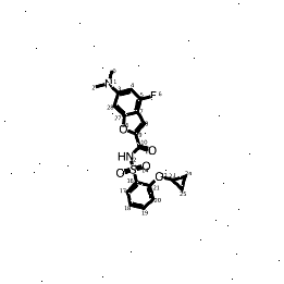 CN(C)c1cc(F)c2cc(C(=O)NS(=O)(=O)c3ccccc3OC3CC3)oc2c1